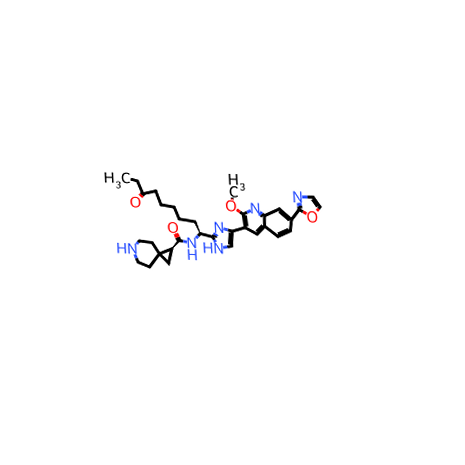 CCC(=O)CCCCC[C@H](NC(=O)[C@H]1CC12CCNCC2)c1nc(-c2cc3ccc(-c4ncco4)cc3nc2OC)c[nH]1